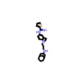 N=C(Nc1ccc2c(ccn2CCCNC2CC3CCCC(C3)C2)c1)c1cccs1